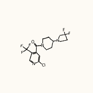 O=C(c1cc(Cl)ncc1C(F)(F)F)N1CCC(N2CCC(F)(F)C2)CC1